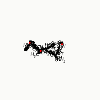 Cc1c(-c2ccc(-c3ccc4cccc(C(=O)Nc5nc6ccccc6s5)c4c3)nc2C(=O)O)cnn1CC12CC3(C)CC(C)(C1)CC(OCCN(CCC(=O)O[C@H]1C[C@@H](C(=O)O)[C@H](O)[C@@H](O)[C@@H]1O)C(=O)OCc1ccc(NC(=O)[C@H](CCCNC(N)=O)NC(=O)[C@@H](NC(=O)CCCCCN4C(=O)C=CC4=O)C(C)C)cc1)(C3)C2